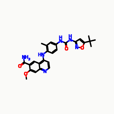 COc1cc2nccc(Nc3ccc(NC(=O)Nc4cc(C(C)(C)C)on4)cc3C)c2cc1C(N)=O